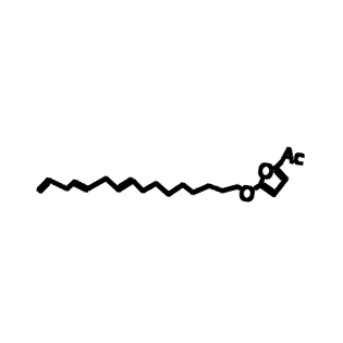 C=CC/C=C/C/C=C/CCCCCCCCOc1ccc(C(C)=O)o1